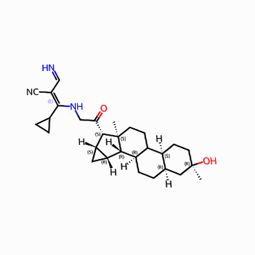 C[C@@]1(O)CC[C@@H]2C3CC[C@@]4(C)[C@@H]([C@@H]5C[C@@H]5[C@@H]4C(=O)CN/C(=C(/C#N)C=N)C4CC4)[C@@H]3CC[C@@H]2C1